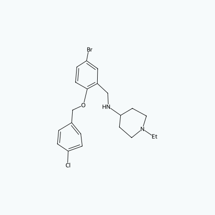 CCN1CCC(NCc2cc(Br)ccc2OCc2ccc(Cl)cc2)CC1